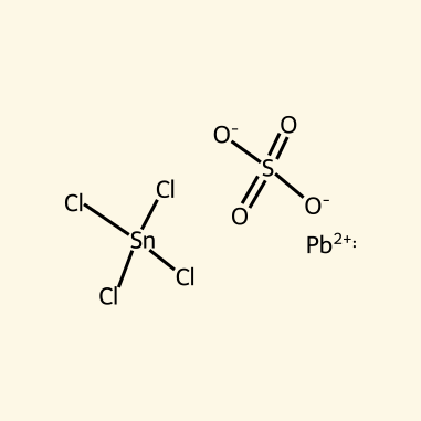 O=S(=O)([O-])[O-].[Cl][Sn]([Cl])([Cl])[Cl].[Pb+2]